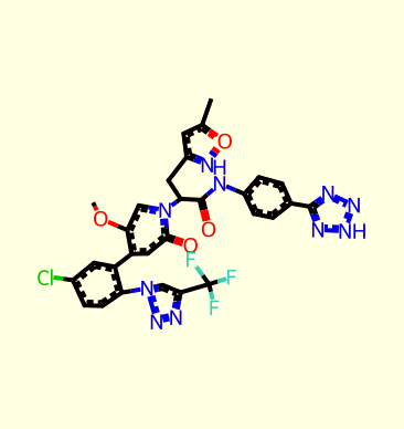 COc1cn(C(Cc2cc(C)on2)C(=O)Nc2ccc(-c3nn[nH]n3)cc2)c(=O)cc1-c1cc(Cl)ccc1-n1cc(C(F)(F)F)nn1